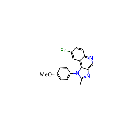 COc1ccc(-n2c(C)nc3cnc4ccc(Br)cc4c32)cc1